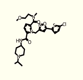 COCCN(C)C(=O)c1ccc(C(=O)NC2CCN(C(C)C)CC2)n1Cc1cc(-c2ccc(Cl)s2)on1